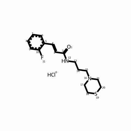 Cl.O=C(C=Cc1ccccc1F)NCCCN1CCSCC1